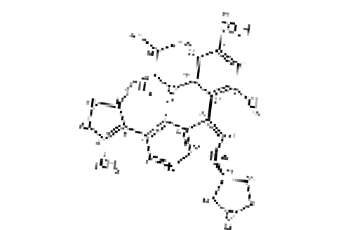 Cc1noc(C)c1-c1cnc2c(c1)c(-c1c(Cl)cc(C(=O)O)cc1OCC(F)F)cn2[C@H]1CCOC1